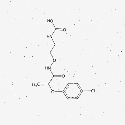 CC(Oc1ccc(Cl)cc1)C(=O)NOCCNC(=O)O